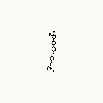 CCCCC[Si]1CCC(CCC2CCC(c3ccc(-c4ccc(F)c(F)c4)cc3)CC2)CC1